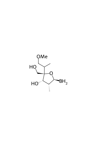 B[C@@H]1O[C@@](CO)(C(C)COC)[C@@H](O)[C@H]1C